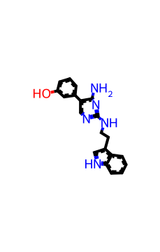 Nc1nc(NCCc2c[nH]c3ccccc23)ncc1-c1cccc(O)c1